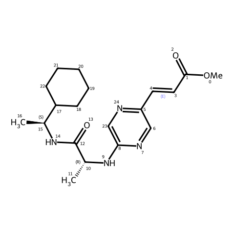 COC(=O)/C=C/c1cnc(N[C@H](C)C(=O)N[C@@H](C)C2CCCCC2)cn1